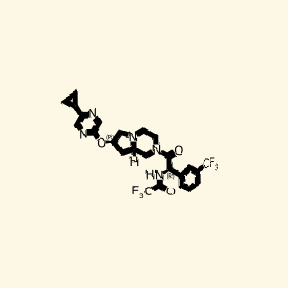 O=C([C@H](NC(=O)C(F)(F)F)c1cccc(C(F)(F)F)c1)N1CCN2C[C@H](Oc3cnc(C4CC4)cn3)C[C@H]2C1